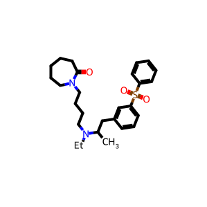 CCN(CCCCN1CCCCCC1=O)C(C)Cc1cccc(S(=O)(=O)c2ccccc2)c1